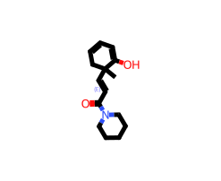 CC1(/C=C/C(=O)N2CCCCC2)CC=CC=C1O